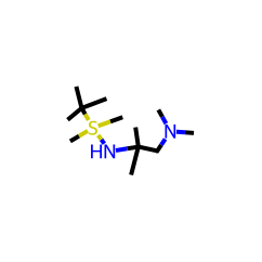 CN(C)CC(C)(C)NS(C)(C)C(C)(C)C